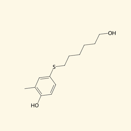 Cc1cc(SCCCCCCO)ccc1O